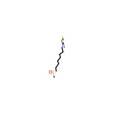 C[S+]([O-])CCCCCC[CH]CN=C=S